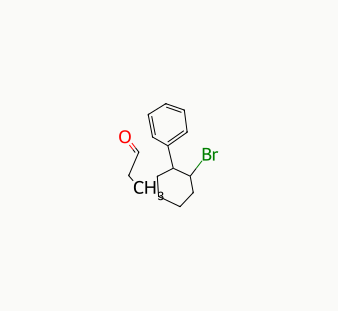 BrC1CCCCC1c1ccccc1.CCC=O